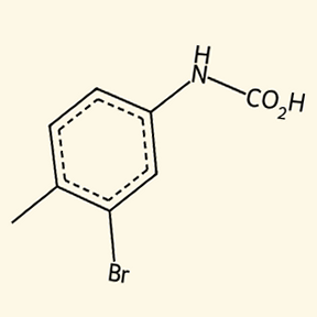 Cc1ccc(NC(=O)O)cc1Br